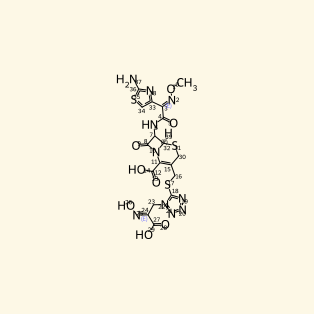 CO/N=C(/C(=O)NC1C(=O)N2C(C(=O)O)=C(CSc3nnnn3C/C(=N\O)C(=O)O)CS[C@H]12)c1csc(N)n1